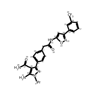 CC(C)n1nc(-c2ccc(CC(=O)Nc3cc(-c4cccc(C(F)(F)F)c4)no3)cc2)c(C(N)=O)c1N